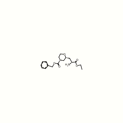 CCOC(=O)[C@@H](N)C[C@H]1CN(C(=O)OCc2ccccc2)CCO1